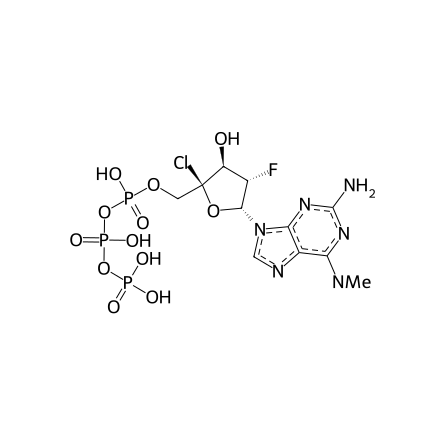 CNc1nc(N)nc2c1ncn2[C@@H]1O[C@](Cl)(COP(=O)(O)OP(=O)(O)OP(=O)(O)O)[C@@H](O)[C@@H]1F